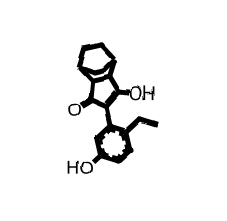 CCc1ccc(O)cc1C1=C(O)C2C3CCC(CC3)C2C1=O